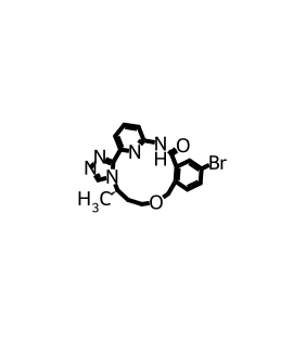 C[C@H]1CCOCc2ccc(Br)cc2C(=O)Nc2cccc(n2)-c2nncn21